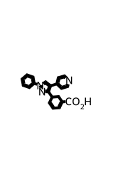 O=C(O)C1=CC=CC(c2nn(-c3ccccc3)cc2-c2ccncc2)C1